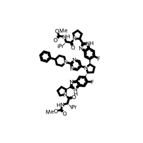 COC(=O)N[C@H](C(=O)N1CCCC1c1nc2cc([C@H]3CC[C@H](c4cc5nc([C@@H]6CCCN6C(=O)[C@@H](NC(=O)OC)C(C)C)[nH]c5cc4F)N3c3cnc(N4CCC(c5ccccc5)CC4)nc3)c(F)cc2[nH]1)C(C)C